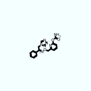 NC(=O)Oc1cccc(CO/N=C(\Cn2cnnn2)c2ccccc2)n1